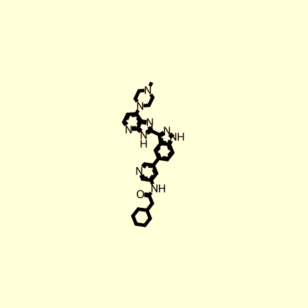 CN1CCN(c2ccnc3[nH]c(-c4n[nH]c5ccc(-c6cncc(NC(=O)CC7CCCCC7)c6)cc45)nc23)CC1